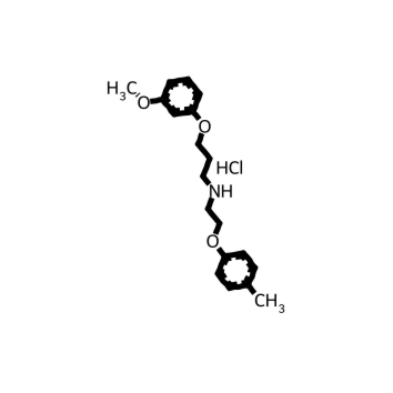 COc1cccc(OCCCNCCOc2ccc(C)cc2)c1.Cl